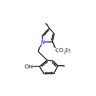 CCOC(=O)c1cc(C)cn1Cc1cc(C)ccc1N=O